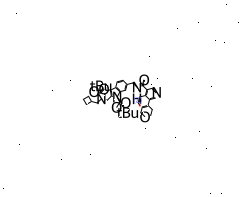 C/C=C\c1c(C(=O)NCc2ccc3cc(CN(CC4CCC4)C(=O)OC(C)(C)C)n(C(=O)OC(C)(C)C)c3c2)cncc1C1=CCOCC1